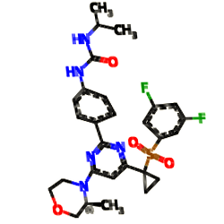 CC(C)NC(=O)Nc1ccc(-c2nc(N3CCOC[C@@H]3C)cc(C3(S(=O)(=O)c4cc(F)cc(F)c4)CC3)n2)cc1